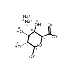 O=C([O-])[C@H]1OC([O-])[C@H](O)[C@H](O)[C@H]1O.[Na+].[Na+]